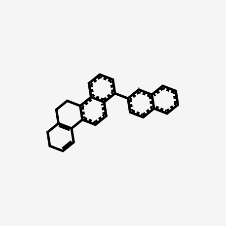 [c]1c(-c2cccc3c4c(ccc23)C2=C(CCC=C2)CC4)ccc2ccccc12